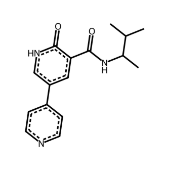 CC(C)C(C)NC(=O)c1cc(-c2ccncc2)c[nH]c1=O